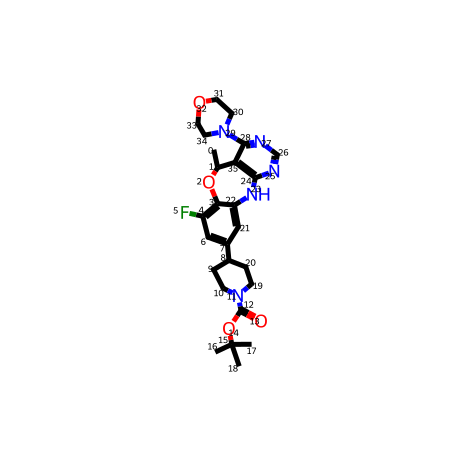 CC1Oc2c(F)cc(C3CCN(C(=O)OC(C)(C)C)CC3)cc2Nc2ncnc(N3CCOCC3)c21